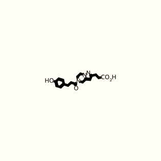 O=C(O)CCc1cc2n(n1)CCN(C(=O)CCc1ccc(O)cc1)C2